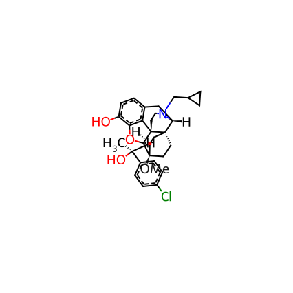 CO[C@]12CC[C@@]3(C[C@@H]1[C@](C)(O)c1ccc(Cl)cc1)[C@H]1Cc4ccc(O)c5c4[C@@]3(CCN1CC1CC1)[C@H]2O5